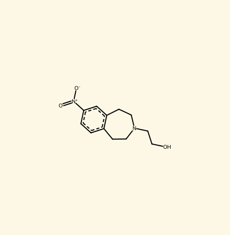 O=[N+]([O-])c1ccc2c(c1)CCN(CCO)CC2